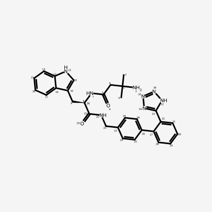 CC(C)(N)CC(=O)N[C@H](Cc1c[nH]c2ccccc12)C(=O)NCc1ccc(-c2ccccc2-c2nnn[nH]2)cc1